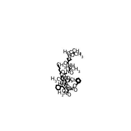 CCCCCC[C@H](OC(=O)CNC(=O)[C@@H](C)CNC(=O)C1CN(C(=O)OC(C)(C)C)C1)[C@@H](C)C(=O)N(C)[C@@H](CC(C)C)C(=O)N[C@H](C(=O)N[C@@H](CNC(=O)OCc1ccccc1)C(N)=O)C1CCCCC1